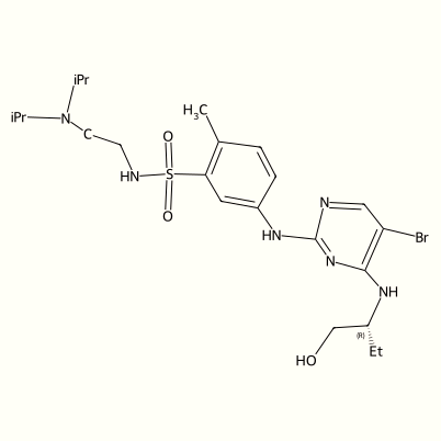 CC[C@H](CO)Nc1nc(Nc2ccc(C)c(S(=O)(=O)NCCN(C(C)C)C(C)C)c2)ncc1Br